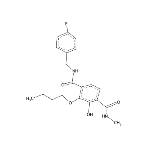 CCCCOc1c(C(=O)NCc2ccc(F)cc2)ccc(C(=O)NC)c1O